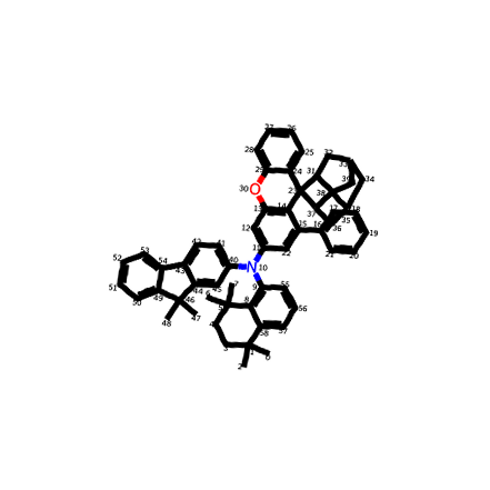 CC1(C)CCC(C)(C)c2c(N(c3cc4c(c(-c5ccccc5)c3)C3(c5ccccc5O4)C4CC5CC6CC3C64C5)c3ccc4c(c3)C(C)(C)c3ccccc3-4)cccc21